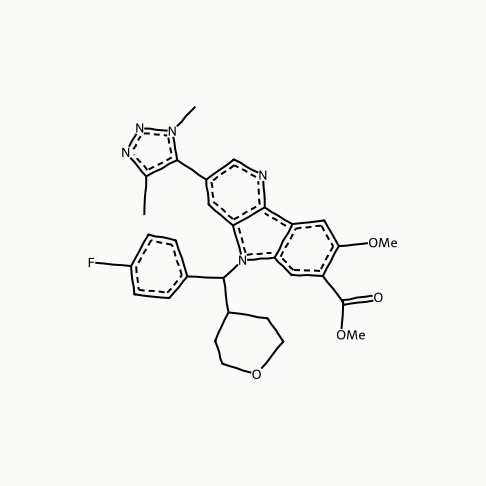 COC(=O)c1cc2c(cc1OC)c1ncc(-c3c(C)nnn3C)cc1n2C(c1ccc(F)cc1)C1CCOCC1